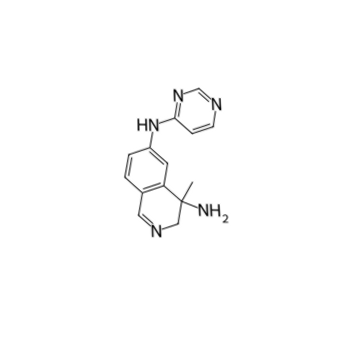 CC1(N)CN=Cc2ccc(Nc3ccncn3)cc21